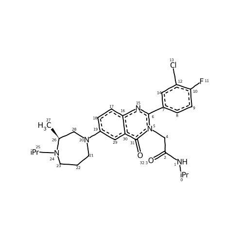 CC(C)NC(=O)Cn1c(-c2ccc(F)c(Cl)c2)nc2ccc(N3CCCN(C(C)C)[C@@H](C)C3)cc2c1=O